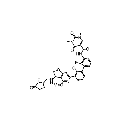 COc1nc(-c2cccc(-c3cccc(NC(=O)c4cn(C)c(=O)n(C)c4=O)c3F)c2Cl)cc2c1C(NCC1CCC(=O)N1)CO2